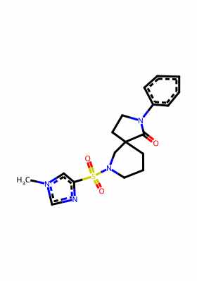 Cn1cnc(S(=O)(=O)N2CCCC3(CCN(c4ccccc4)C3=O)C2)c1